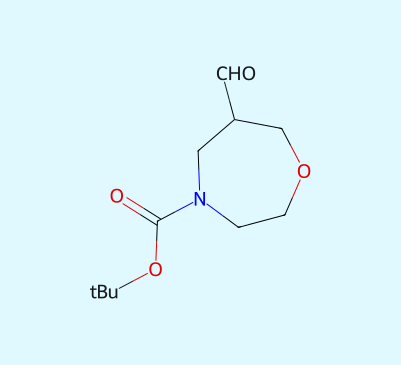 CC(C)(C)OC(=O)N1CCOCC(C=O)C1